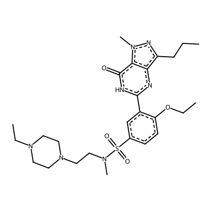 CCCc1nn(C)c2c(=O)[nH]c(-c3cc(S(=O)(=O)N(C)CCN4CCN(CC)CC4)ccc3OCC)nc12